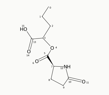 CCCC(OC(=O)[C@@H]1CCC(=O)N1)C(=O)O